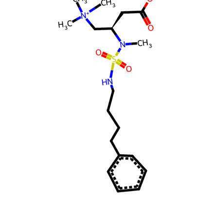 CN([C@H](CC(=O)[O-])C[N+](C)(C)C)S(=O)(=O)NCCCCc1ccccc1